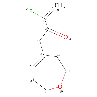 C=C(F)C(=O)CC1=CCCOCC1